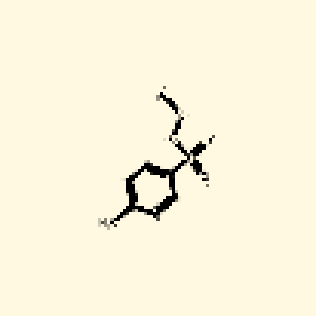 CCCOOS(=O)(=O)c1ccc(C)cc1